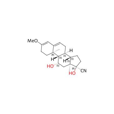 COC1=CC2=CC[C@@H]3[C@H]([C@@H](O)C[C@@]4(C)[C@H]3CC[C@]4(O)C#N)[C@@]2(C)CC1